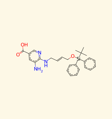 CC(C)(C)[Si](OCC=CCNc1ncc(C(=O)O)cc1N)(c1ccccc1)c1ccccc1